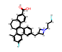 Cc1cc(F)cc(C)c1C1=C(c2ccc(CC3CN(CCCF)C3)cc2)c2ccc(C(=O)O)cc2CCC1